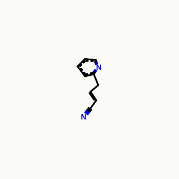 N#CC=CCc1ccccn1